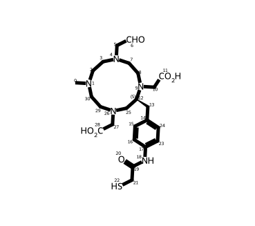 CN1CCN(CC=O)CCN(CC(=O)O)[C@@H](Cc2ccc(NC(=O)CS)cc2)CN(CC(=O)O)CC1